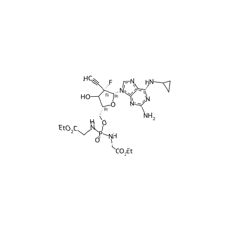 C#C[C@]1(F)C(O)[C@@H](COP(=O)(NCC(=O)OCC)NCC(=O)OCC)O[C@H]1n1cnc2c(NC3CC3)nc(N)nc21